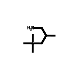 CC(CN)CS(C)(C)C